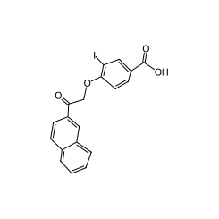 O=C(O)c1ccc(OCC(=O)c2ccc3ccccc3c2)c(I)c1